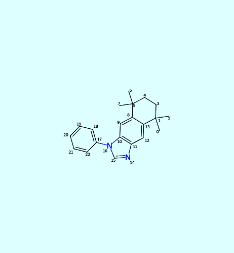 CC1(C)CCC(C)(C)c2cc3c(cc21)ncn3-c1ccccc1